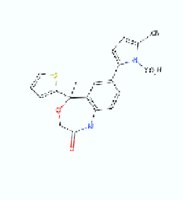 CC1(c2cccs2)OCC(=O)Nc2ccc(-c3ccc(C#N)n3C(=O)O)cc21